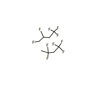 CC(F)(F)CC(F)(F)F.FCC(F)CC(F)(F)F